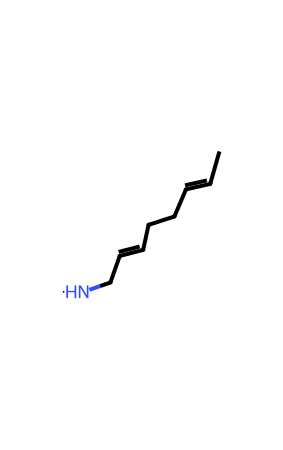 CC=CCCC=CC[NH]